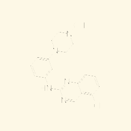 CN1CCN(c2cccc(Nc3ncc4c(Cl)cccc4n3)c2)CC1